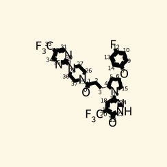 O=C(CC[C@@H]1C[C@H](Oc2ccc(F)cc2)CN1c1cc(C(F)(F)F)c(=O)[nH]n1)N1CCN(c2ncc(C(F)(F)F)cn2)CC1